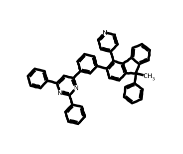 CC1(c2ccccc2)c2ccccc2-c2c1ccc(-c1cccc(-c3cc(-c4ccccc4)nc(-c4ccccc4)n3)c1)c2-c1ccncc1